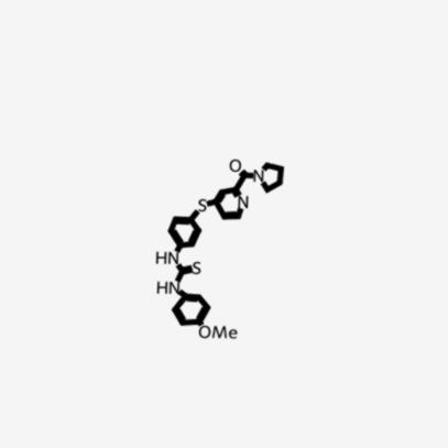 COc1ccc(NC(=S)Nc2ccc(Sc3ccnc(C(=O)N4CCCC4)c3)cc2)cc1